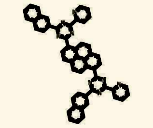 c1ccc(-c2nc(-c3ccc4ccccc4c3)nc(-c3ccc4ccc5c(-c6nc(-c7ccc8ccccc8c7)nc(-c7ccccn7)n6)ccc6ccc3c4c65)n2)nc1